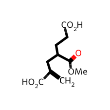 C=C(CC(CCC(=O)O)C(=O)OC)C(=O)O